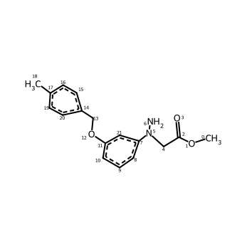 COC(=O)CN(N)c1cccc(OCc2ccc(C)cc2)c1